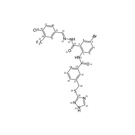 O=C(Nc1ccc(Br)cc1C(=O)N/N=C/c1ccc(Cl)c(C(F)(F)F)c1)c1cccc(CSc2nc[nH]n2)c1